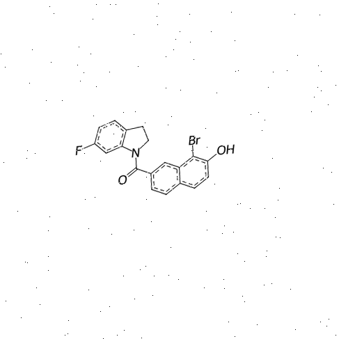 O=C(c1ccc2ccc(O)c(Br)c2c1)N1CCc2ccc(F)cc21